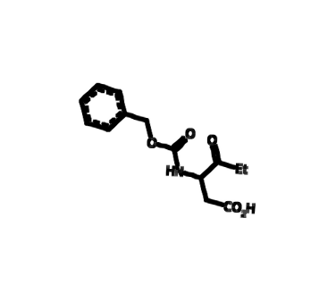 CCC(=O)C(CC(=O)O)NC(=O)OCc1ccccc1